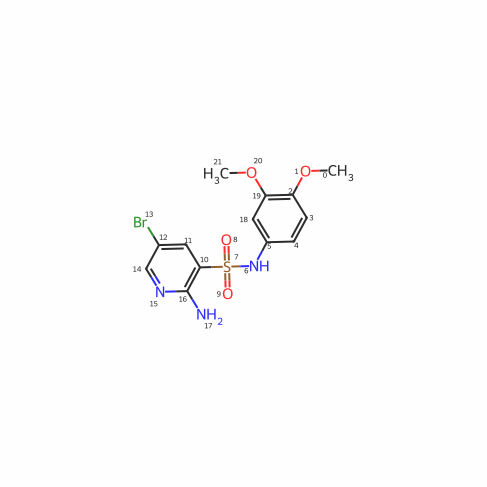 COc1ccc(NS(=O)(=O)c2cc(Br)cnc2N)cc1OC